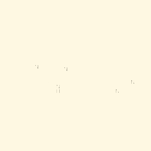 C=C(Nc1cc2cc(-c3cncn3C)ccc2cn1)C(C)N1CCCCC1